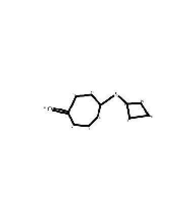 O=C1CCCC(SC2CCC2)CC1